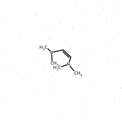 CB(C)/C=C\N(C)C